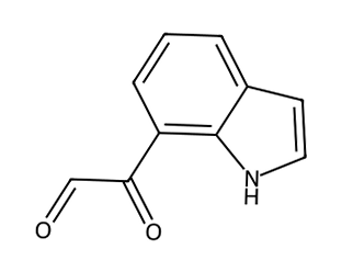 O=CC(=O)c1cccc2cc[nH]c12